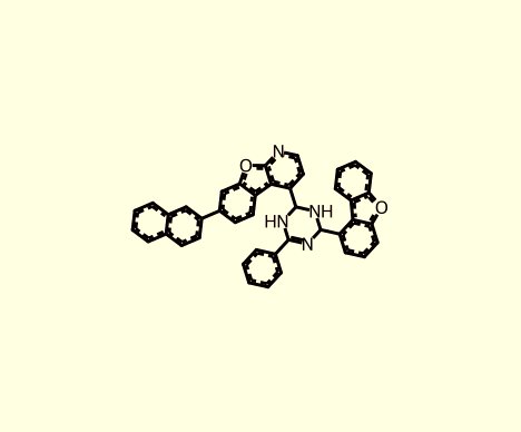 c1ccc(C2=NC(c3cccc4oc5ccccc5c34)NC(c3ccnc4oc5cc(-c6ccc7ccccc7c6)ccc5c34)N2)cc1